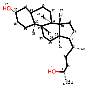 C[C@H](CC[C@@H](O)C(C)(C)C)[C@H]1CC[C@H]2[C@@H]3CCC4C[C@@H](O)CC[C@]4(C)[C@H]3CC[C@]12C